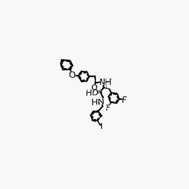 O=C(Cc1ccc(Oc2ccccc2)cc1)N[C@@H](Cc1cc(F)cc(F)c1)[C@@H](O)CNCc1cccc(I)c1